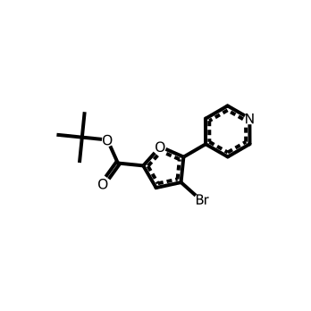 CC(C)(C)OC(=O)c1cc(Br)c(-c2ccncc2)o1